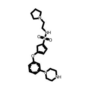 O=S(=O)(NCCN1CCCC1)C1=CC=C(Oc2cccc(N3CCNCC3)c2)C1